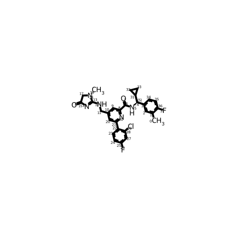 Cc1cc([C@@H](NC(=O)c2cc(CNC3=NC(=O)CN3C)cc(-c3ccc(F)cc3Cl)n2)C2CC2)ccc1F